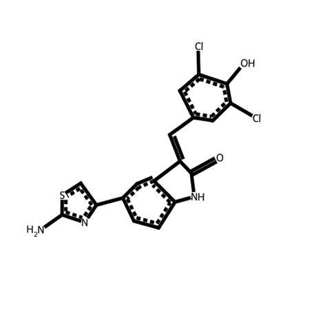 Nc1nc(-c2ccc3c(c2)/C(=C/c2cc(Cl)c(O)c(Cl)c2)C(=O)N3)cs1